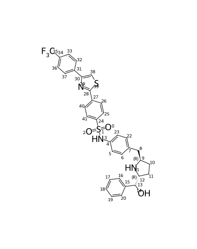 O=S(=O)(Nc1ccc(C[C@H]2CC[C@H](C(O)c3ccccc3)N2)cc1)c1ccc(-c2nc(-c3ccc(C(F)(F)F)cc3)cs2)cc1